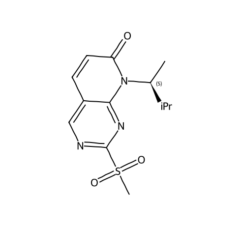 CC(C)[C@H](C)n1c(=O)ccc2cnc(S(C)(=O)=O)nc21